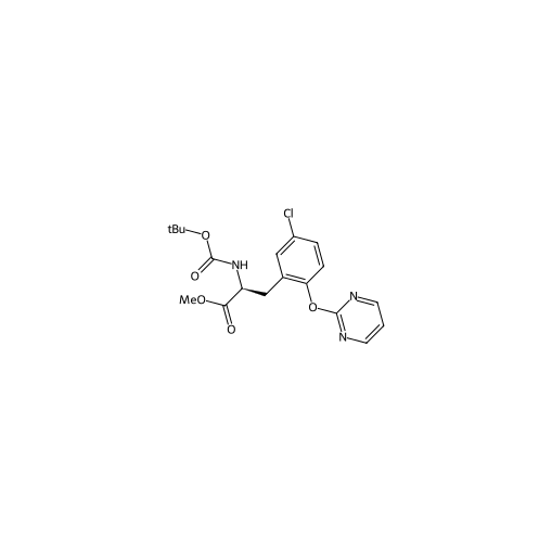 COC(=O)[C@H](Cc1cc(Cl)ccc1Oc1ncccn1)NC(=O)OC(C)(C)C